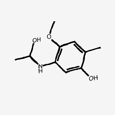 COc1cc(C)c(O)cc1NC(C)O